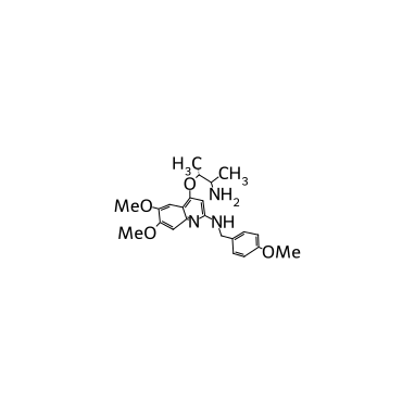 COc1ccc(CNc2cc(O[C@H](C)C(C)N)c3cc(OC)c(OC)cc3n2)cc1